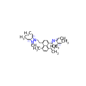 C=Cc1ccc(C)c2c(CCn3c(=C/C)/c(=C\C)n3C)ccc(/C(C)=N/C(=C/C)C(/C)=C\C)c12